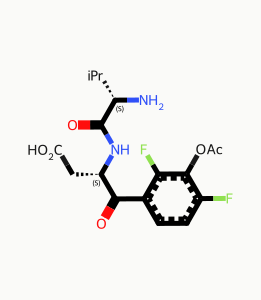 CC(=O)Oc1c(F)ccc(C(=O)[C@H](CC(=O)O)NC(=O)[C@@H](N)C(C)C)c1F